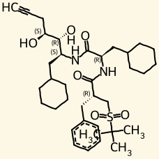 C#CC[C@H](O)[C@H](O)[C@H](CC1CCCCC1)NC(=O)[C@@H](CC1CCCCC1)NC(=O)[C@@H](Cc1ccccc1)CS(=O)(=O)C(C)(C)C